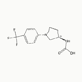 O=C(O)N[C@@H]1CCN(c2ccc(C(F)(F)F)cc2)C1